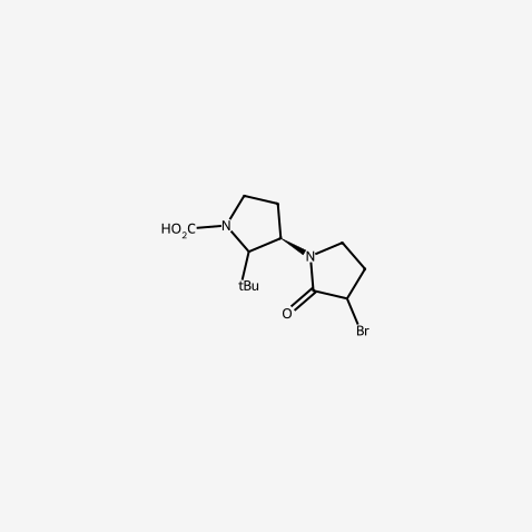 CC(C)(C)C1[C@H](N2CCC(Br)C2=O)CCN1C(=O)O